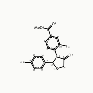 COC(=O)c1ccc(N2C(=O)CSC2c2ccc(F)cc2)c(F)c1